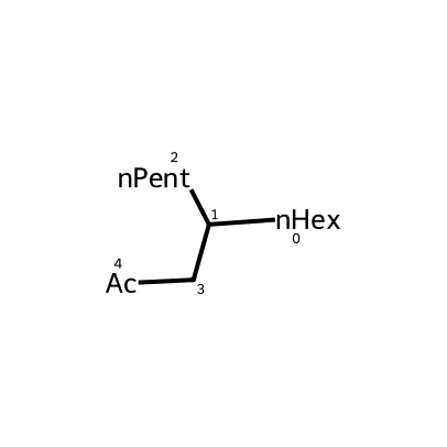 CCCCCCC(CCCCC)CC(C)=O